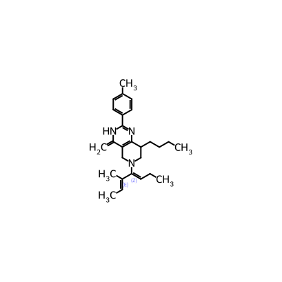 C=C1NC(c2ccc(C)cc2)=NC2=C1CN(C(=C\CC)/C(C)=C/C)CC2CCCC